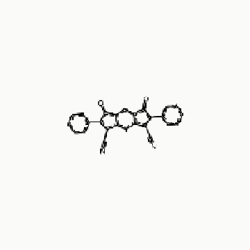 N#Cc1c(-c2ccccc2)c(=O)c2cc3c(=O)c(-c4ccccc4)c(C#N)c3cc12